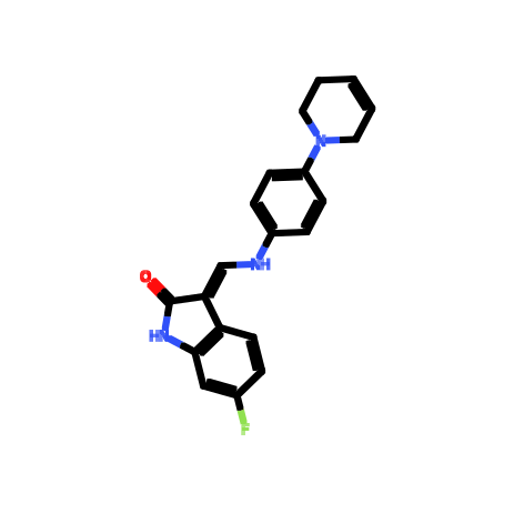 O=C1Nc2cc(F)ccc2/C1=C\Nc1ccc(N2CC=CCC2)cc1